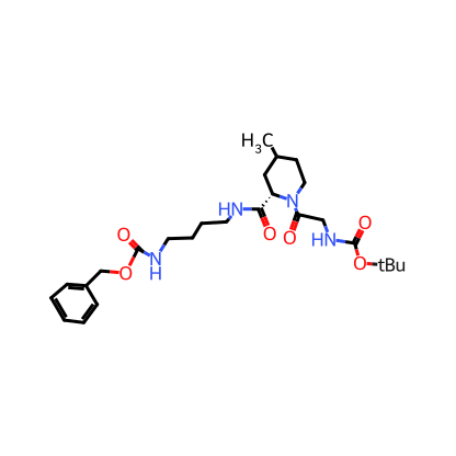 CC1CCN(C(=O)CNC(=O)OC(C)(C)C)[C@H](C(=O)NCCCCNC(=O)OCc2ccccc2)C1